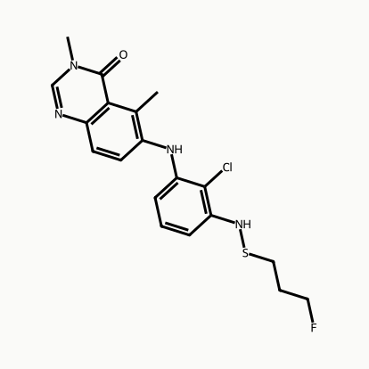 Cc1c(Nc2cccc(NSCCCF)c2Cl)ccc2ncn(C)c(=O)c12